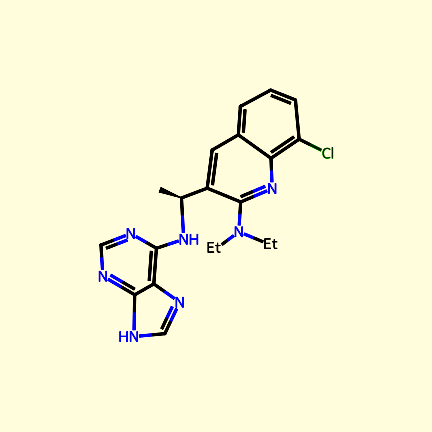 CCN(CC)c1nc2c(Cl)cccc2cc1[C@H](C)Nc1ncnc2[nH]cnc12